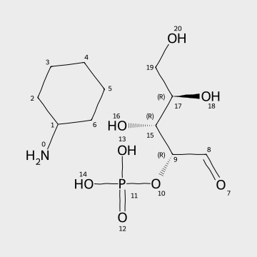 NC1CCCCC1.O=C[C@H](OP(=O)(O)O)[C@H](O)[C@H](O)CO